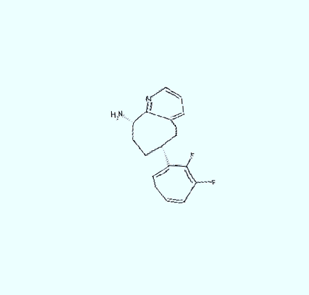 N[C@H]1CC[C@@H](c2cccc(F)c2F)Cc2cccnc21